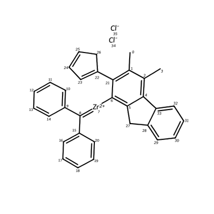 Cc1c(C)c2c([c]([Zr+2]=[C](c3ccccc3)c3ccccc3)c1C1=CC=CC1)Cc1ccccc1-2.[Cl-].[Cl-]